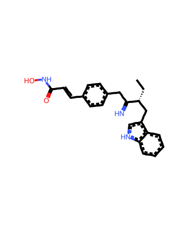 CC[C@H](Cc1c[nH]c2ccccc12)C(=N)Cc1ccc(C=CC(=O)NO)cc1